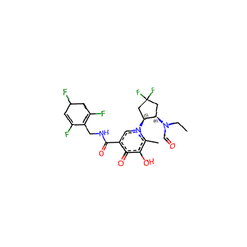 CCN(C=O)[C@@H]1CC(F)(F)C[C@@H]1n1cc(C(=O)NCC2=C(F)CC(F)C=C2F)c(=O)c(O)c1C